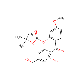 COc1ccc(C(=O)c2ccc(CO)cc2O)c(OC(=O)OC(C)(C)C)c1